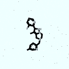 CC1=C2CN(Cc3ccc(C)cn3)CCN2NC1c1ncccc1F